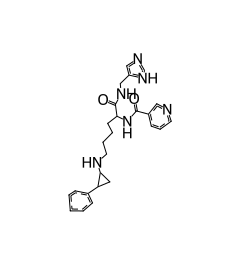 O=C(NC(CCCCNC1CC1c1ccccc1)C(=O)NCc1cnc[nH]1)c1cccnc1